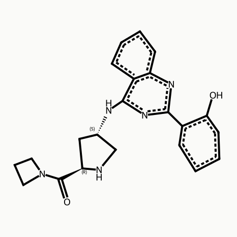 O=C([C@H]1C[C@H](Nc2nc(-c3ccccc3O)nc3ccccc23)CN1)N1CCC1